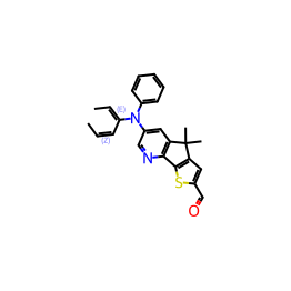 C/C=C\C(=C/C)N(c1ccccc1)c1cnc2c(c1)C(C)(C)c1cc(C=O)sc1-2